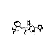 Nc1nc(-n2ccnn2)c(Cl)nc1C(=O)NCc1ccccc1C(F)(F)F